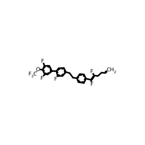 C=CCC/C(F)=C(\F)c1ccc(CCc2ccc(-c3cc(F)c(OC(F)(F)F)c(F)c3)c(F)c2)cc1